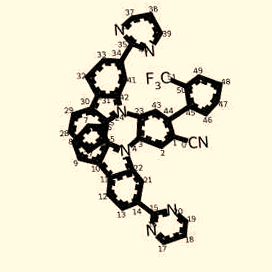 N#Cc1cc(-n2c3ccccc3c3ccc(-c4ncccn4)cc32)c(-n2c3ccccc3c3ccc(-c4ncccn4)cc32)cc1-c1ccccc1C(F)(F)F